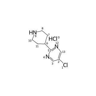 Cl.Clc1cnc(C2CCNCC2)nc1